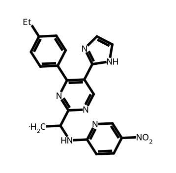 [CH2]C(Nc1ccc([N+](=O)[O-])cn1)c1ncc(-c2ncc[nH]2)c(-c2ccc(CC)cc2)n1